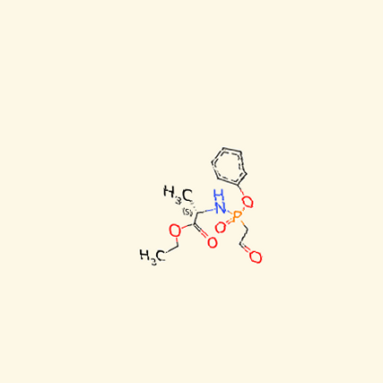 CCOC(=O)[C@H](C)NP(=O)(CC=O)Oc1ccccc1